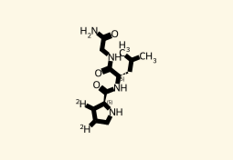 [2H]C1CN[C@H](C(=O)N[C@@H](CC(C)C)C(=O)NCC(N)=O)C1[2H]